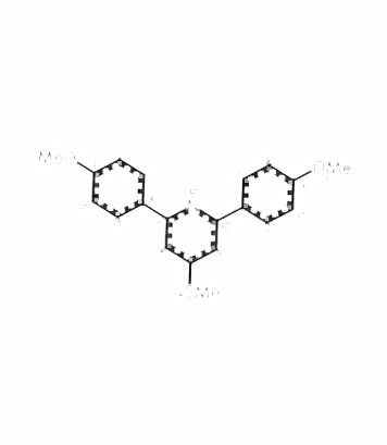 COc1ccc(-c2cc(SC)cc(-c3ccc(OC)cc3)n2)cc1